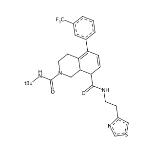 CC(C)(C)NC(=O)N1CCC2=C(c3cccc(C(F)(F)F)c3)C=CC(C(=O)NCCc3cscn3)C2C1